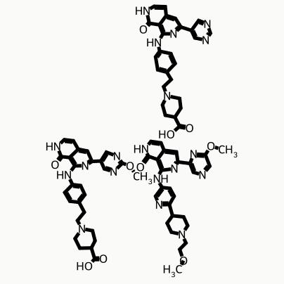 COCCN1CCC(c2ccc(Nc3nc(-c4cncc(OC)n4)cc4cc[nH]c(=O)c34)cn2)CC1.COc1ncc(-c2cc3cc[nH]c(=O)c3c(Nc3ccc(CCN4CCC(C(=O)O)CC4)cc3)n2)cn1.O=C(O)C1CCN(CCc2ccc(Nc3nc(-c4cncnc4)cc4cc[nH]c(=O)c34)cc2)CC1